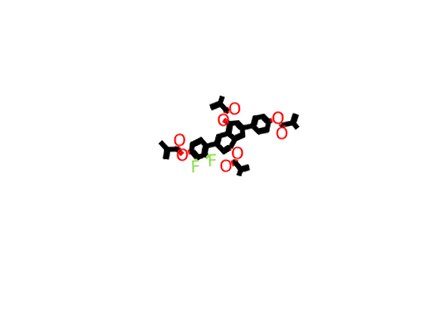 C=C(C)C(=O)Oc1ccc(-c2cc(OC(=O)C(=C)C)c3cc(-c4ccc(OC(=O)C(=C)C)c(F)c4F)cc(OC(=O)C(=C)C)c3c2)cc1